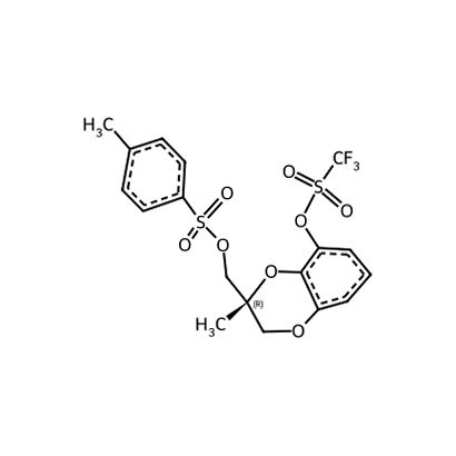 Cc1ccc(S(=O)(=O)OC[C@@]2(C)COc3cccc(OS(=O)(=O)C(F)(F)F)c3O2)cc1